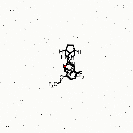 Cc1ccc(OCC(F)(F)F)c2nc(N[C@@H]3[C@@H]4CC[C@H]3CN(c3ccnc(C(F)(F)F)c3)C4)nn12